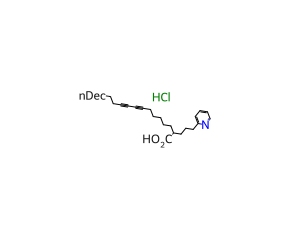 CCCCCCCCCCCCC#CC#CCCCCCC(CCCc1ccccn1)C(=O)O.Cl